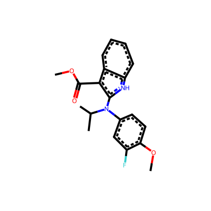 COC(=O)c1c(N(c2ccc(OC)c(F)c2)C(C)C)[nH]c2ccccc12